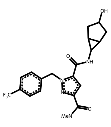 CNC(=O)c1cc(C(=O)NC2C3CC(O)CC32)n(Cc2ccc(C(F)(F)F)cc2)n1